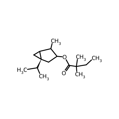 CCC(C)(C)C(=O)OC1C[C@]2(C(C)C)CC2C1C